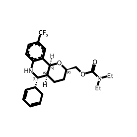 CCN(CC)C(=O)OC[C@H]1CC[C@@H]2[C@H](O1)c1cc(C(F)(F)F)ccc1N[C@H]2C1C=CC=CC1